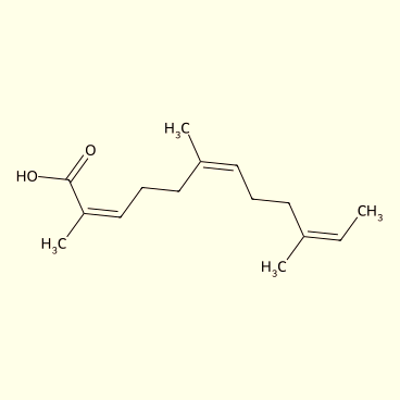 CC=C(C)CCC=C(C)CCC=C(C)C(=O)O